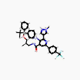 C[C@H](CNC(=O)c1cc(-c2ccc(C(F)(F)F)cc2)nc(-c2cnn(C)c2)c1N)CO[Si](c1ccccc1)(c1ccccc1)C(C)(C)C